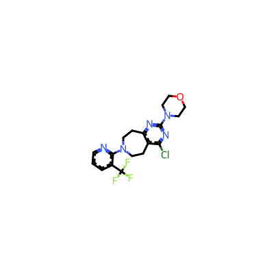 FC(F)(F)c1cccnc1N1CCc2nc(N3CCOCC3)nc(Cl)c2CC1